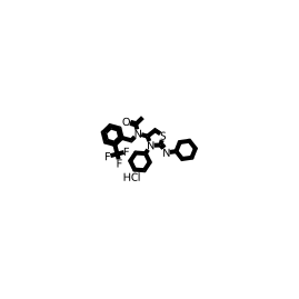 CC(=O)N(Cc1ccccc1C(F)(F)F)C1CSC(=NC2CCCCC2)N1C1CCCCC1.Cl